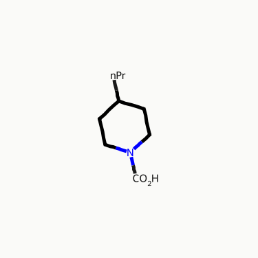 CCCC1CCN(C(=O)O)CC1